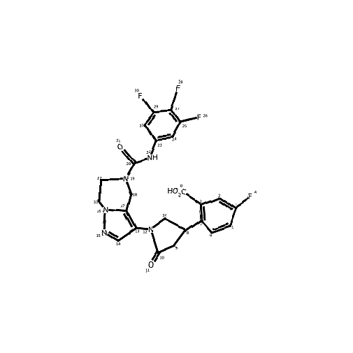 O=C(O)c1cc(F)ccc1C1CC(=O)N(c2cnn3c2CN(C(=O)Nc2cc(F)c(F)c(F)c2)CC3)C1